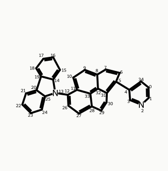 c1cncc(-c2ccc3ccc4c(-n5c6ccccc6c6ccccc65)ccc5ccc2c3c54)c1